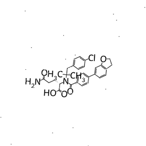 CC(C)(Cc1ccc(Cl)cc1)N(C(=O)c1ccc(-c2ccc3c(c2)OCC3)cc1)[C@@H](CCC(N)=O)C(=O)O